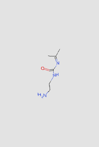 CC(C)=NC(=O)NCCN